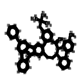 C=C1C2C(CCc3nc4c(cc3-c3cc(CC(C)(C)C)cc[n+]31)c1cc(-c3ccccc3)cc3c5ccccc5n4c31)c1ccccc1-c1ccc(C)c[n+]12